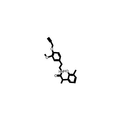 C#CCOc1ccc(CCNC(=O)C(C)c2cccc(C)c2O)cc1OC